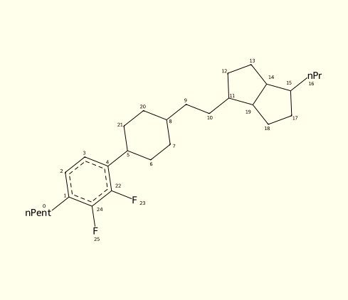 CCCCCc1ccc(C2CCC(CCC3CCC4C(CCC)CCC34)CC2)c(F)c1F